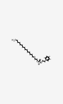 CCCCCCCCCCCCCCCOCCOP(=O)([O-])OCC[n+]1ccccc1